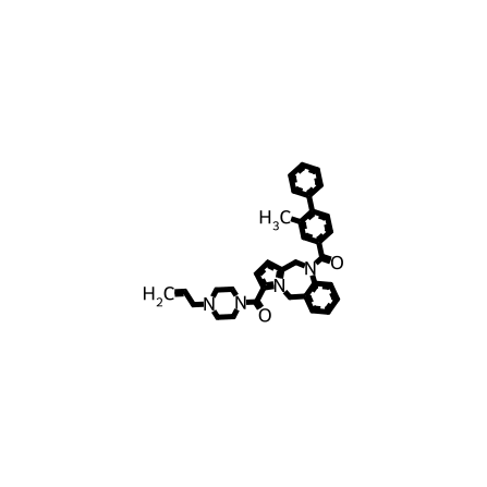 C=CCN1CCN(C(=O)c2ccc3n2Cc2ccccc2N(C(=O)c2ccc(-c4ccccc4)c(C)c2)C3)CC1